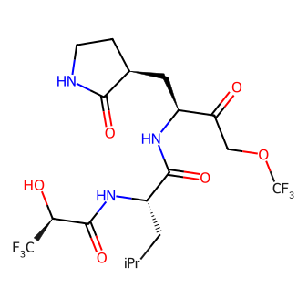 CC(C)C[C@H](NC(=O)[C@H](O)C(F)(F)F)C(=O)N[C@@H](C[C@@H]1CCNC1=O)C(=O)COC(F)(F)F